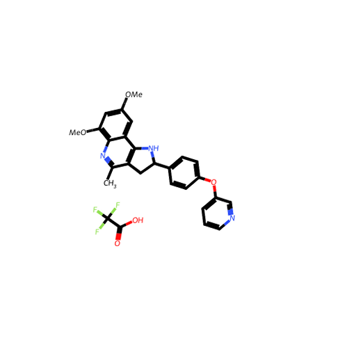 COc1cc(OC)c2nc(C)c3c(c2c1)NC(c1ccc(Oc2cccnc2)cc1)C3.O=C(O)C(F)(F)F